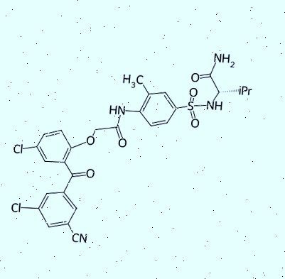 Cc1cc(S(=O)(=O)N[C@H](C(N)=O)C(C)C)ccc1NC(=O)COc1ccc(Cl)cc1C(=O)c1cc(Cl)cc(C#N)c1